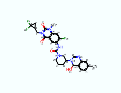 CC(C)n1c(=O)n(CC2CC2(F)F)c(=O)c2cc(NC(=O)N3CCCC(N4C=Nc5cc(C#N)ccc5C4O)C3)c(F)cc21